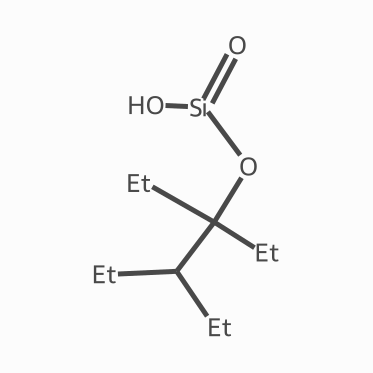 CCC(CC)C(CC)(CC)O[Si](=O)O